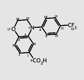 O=C(O)c1ccc2c(c1)N(c1ccc(C(F)(F)F)cc1)CCO2